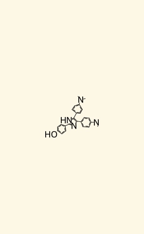 CN(C)c1ccc(-c2nc(-c3ccc(O)cc3)[nH]c2-c2ccc(N(C)C)cc2)cc1